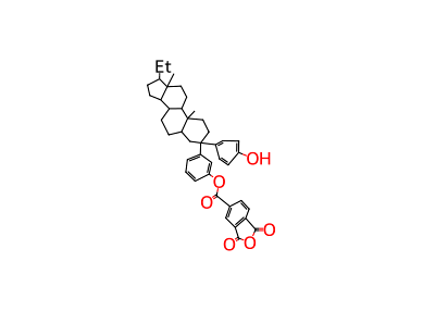 CCC1CCC2C3CCC4CC(c5ccc(O)cc5)(c5cccc(OC(=O)c6ccc7c(c6)C(=O)OC7=O)c5)CCC4(C)C3CCC12C